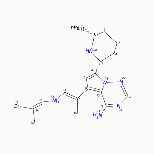 CCCCC[C@@H]1CCC[C@H](c2cc(/C(C)=C/N/C=C(\C)CC)c3c(N)ncnn23)N1